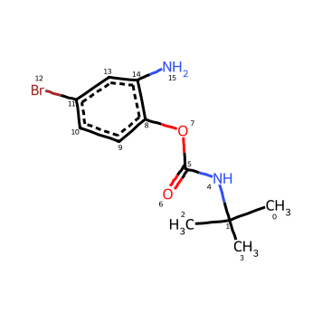 CC(C)(C)NC(=O)Oc1ccc(Br)cc1N